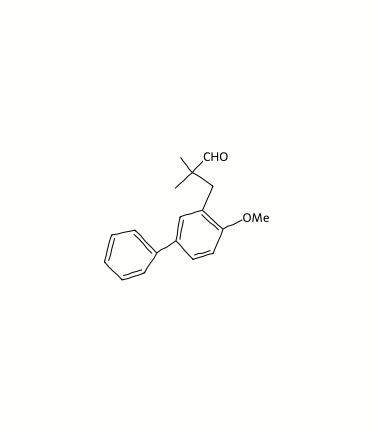 COc1ccc(-c2ccccc2)cc1CC(C)(C)C=O